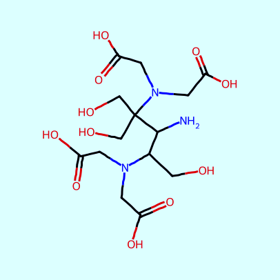 NC(C(CO)N(CC(=O)O)CC(=O)O)C(CO)(CO)N(CC(=O)O)CC(=O)O